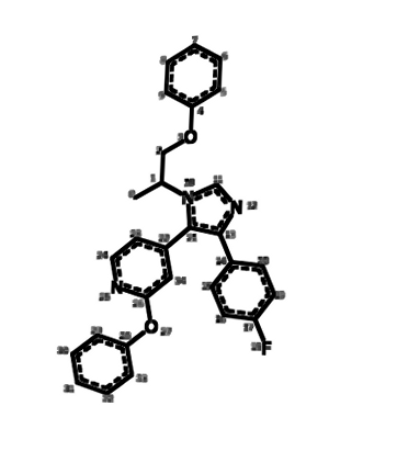 CC(COc1ccccc1)n1cnc(-c2ccc(F)cc2)c1-c1ccnc(Oc2ccccc2)c1